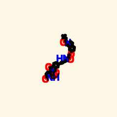 CC(C)(C)CC(=O)N1CCc2ccc(OCC(=O)NCC#Cc3ccc4c(c3)C(=O)N(C3CCC(=O)NC3=O)C4=O)cc2C1